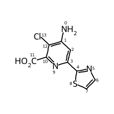 Nc1cc(-c2nccs2)nc(C(=O)O)c1Cl